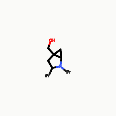 CC(C)C1CC2(CO)CC2N1C(C)C